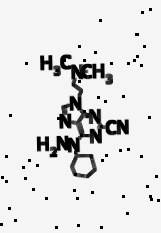 CN(C)CCn1cnc2c(N(N)C3CCCCC3)nc(C#N)nc21